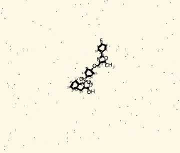 Cc1oc(-c2ccc(F)cc2)nc1COc1ccc(S(=O)(=O)N2c3ccccc3CC2C(=O)O)cc1